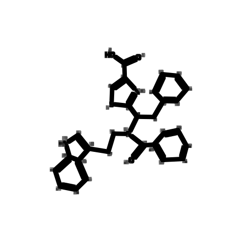 O=C(O)c1csc(C(Cc2ccccc2)N(CCc2c[nH]c3ccccc23)C(=O)c2ccccc2)n1